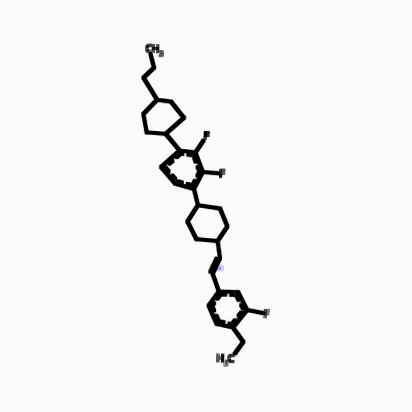 CCCC1CCC(c2ccc(C3CCC(/C=C/c4ccc(CC)c(F)c4)CC3)c(F)c2F)CC1